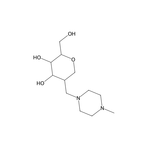 CN1CCN(CC2COC(CO)C(O)C2O)CC1